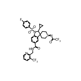 O=C(NCc1ncccc1C(F)(F)F)c1ccc2c(c1)C1(CCS(=NC(=O)C(F)(F)F)CC1)C(C1CC1)N2S(=O)(=O)c1ccc(F)cc1